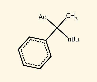 CCCCC(C)(C(C)=O)c1ccccc1